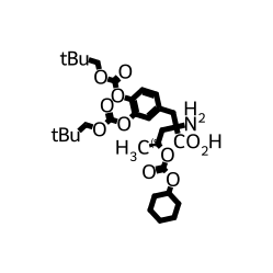 C[C@@H](CC(N)(Cc1ccc(OC(=O)OCC(C)(C)C)c(OC(=O)OCC(C)(C)C)c1)C(=O)O)OC(=O)OC1CCCCC1